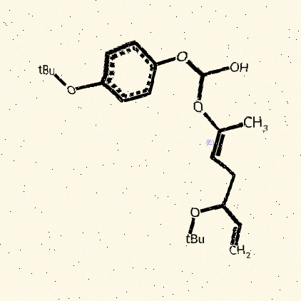 C=CC(C/C=C(\C)OC(O)Oc1ccc(OC(C)(C)C)cc1)OC(C)(C)C